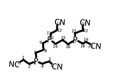 N#CCCP(CCC#N)CCCP(CCC#N)CCCP(CCC#N)CCC#N